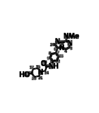 CNc1nccn2c(-c3ccc(NC(=O)CN4CCC(O)CC4)cc3)cnc12